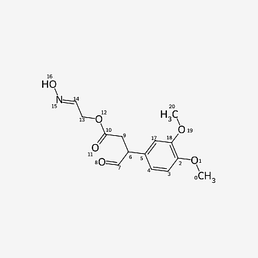 COc1ccc(C(C=O)CC(=O)OCC=NO)cc1OC